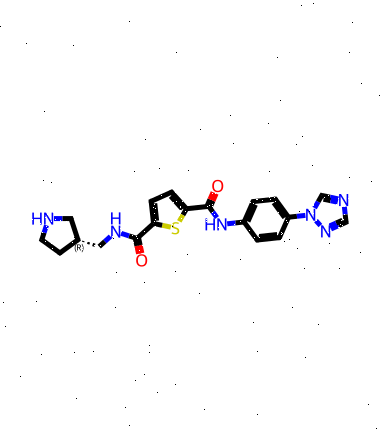 O=C(NC[C@@H]1CCNC1)c1ccc(C(=O)Nc2ccc(-n3cncn3)cc2)s1